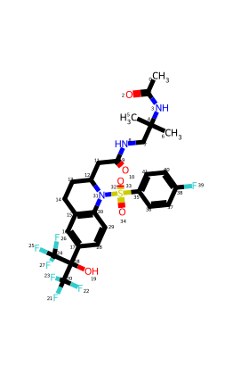 CC(=O)NC(C)(C)CNC(=O)CC1CCc2cc(C(O)(C(F)(F)F)C(F)(F)F)ccc2N1S(=O)(=O)c1ccc(F)cc1